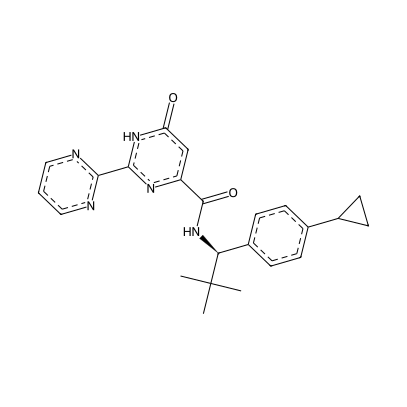 CC(C)(C)[C@@H](NC(=O)c1cc(=O)[nH]c(-c2ncccn2)n1)c1ccc(C2CC2)cc1